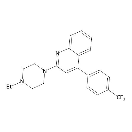 CCN1CCN(c2cc(-c3ccc(C(F)(F)F)cc3)c3ccccc3n2)CC1